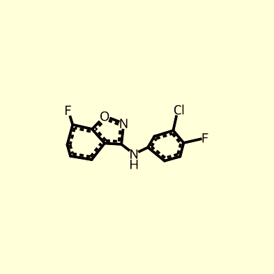 Fc1ccc(Nc2noc3c(F)cccc23)cc1Cl